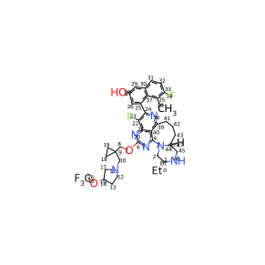 CC[C@@H]1CN2c3nc(OCC4(CN5CC[C@H](OC(F)(F)F)C5)CC4)nc4c(F)c(-c5cc(O)cc6ccc(F)c(C)c56)nc(c34)CCC[C@@H]2CN1